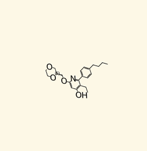 CCCCc1ccc(-c2nc(OC[C@@H]3COCCO3)cc(O)c2CC)cc1